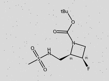 CC(C)(C)OC(=O)N1C[C@@H](F)[C@H]1CNS(C)(=O)=O